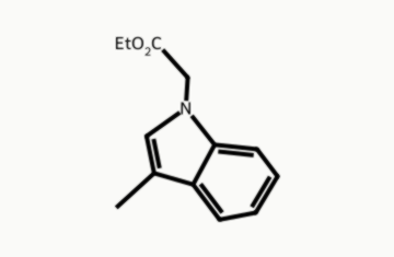 CCOC(=O)Cn1cc(C)c2ccccc21